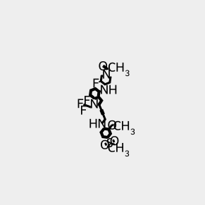 COc1cc(S(C)(=O)=O)ccc1NCC#Cc1cc2c(N[C@@H]3CCN(C(C)=O)C[C@@H]3F)cccc2n1CC(F)(F)F